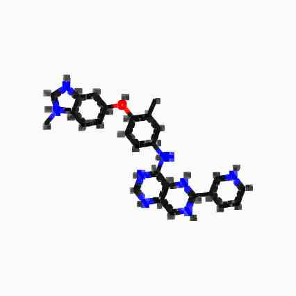 Cc1cc(Nc2ncnc3cnc(-c4cccnc4)nc23)ccc1Oc1ccc2c(c1)ncn2C